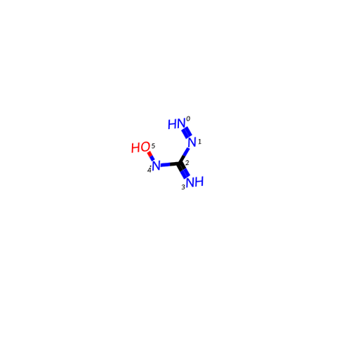 N=NC(=N)[N]O